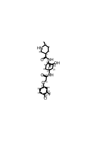 CC1CCC(C(=O)NC23CCC(NC(=O)COc4ccc(Cl)c(F)c4)(CC2)CC3O)CN1